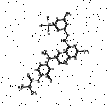 Cc1nc(NCc2cc(N)cc(C(F)(F)F)c2)c2cc(N(C)c3ccn(CC(=O)N(C)C)c(=O)c3)ccc2n1